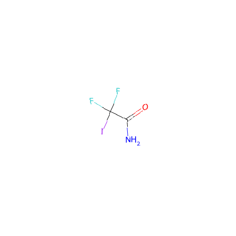 NC(=O)C(F)(F)I